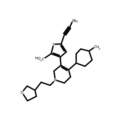 CC1CCC(C2=C(c3cc(C#CC(C)(C)C)sc3C(=O)O)CN(CCC3CCOC3)CC2)CC1